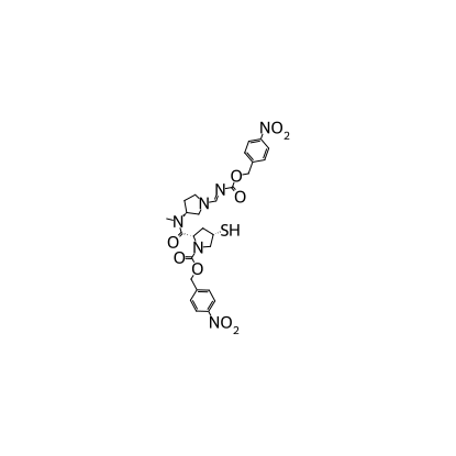 CN(C(=O)[C@@H]1C[C@H](S)CN1C(=O)OCc1ccc([N+](=O)[O-])cc1)[C@H]1CCN(C=NC(=O)OCc2ccc([N+](=O)[O-])cc2)C1